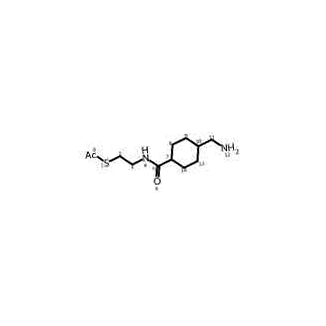 CC(=O)SCCNC(=O)C1CCC(CN)CC1